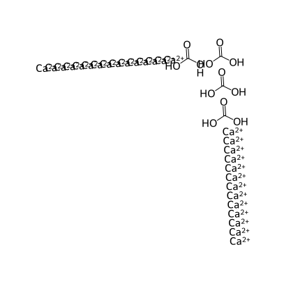 O=C(O)O.O=C(O)O.O=C(O)O.O=C(O)O.[Ca+2].[Ca+2].[Ca+2].[Ca+2].[Ca+2].[Ca+2].[Ca+2].[Ca+2].[Ca+2].[Ca+2].[Ca+2].[Ca+2].[Ca+2].[Ca+2].[Ca+2].[Ca+2].[Ca+2].[Ca+2].[Ca+2].[Ca+2].[Ca+2].[Ca+2].[Ca+2].[Ca+2].[Ca+2].[Ca+2].[Ca+2].[Ca+2]